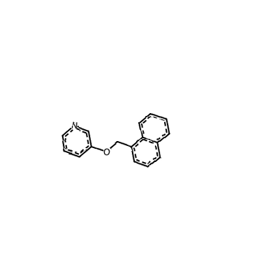 c1cncc(OCc2cccc3ccccc23)c1